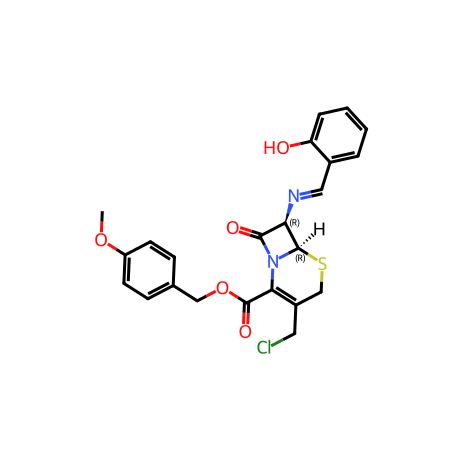 COc1ccc(COC(=O)C2=C(CCl)CS[C@@H]3[C@H](N=Cc4ccccc4O)C(=O)N23)cc1